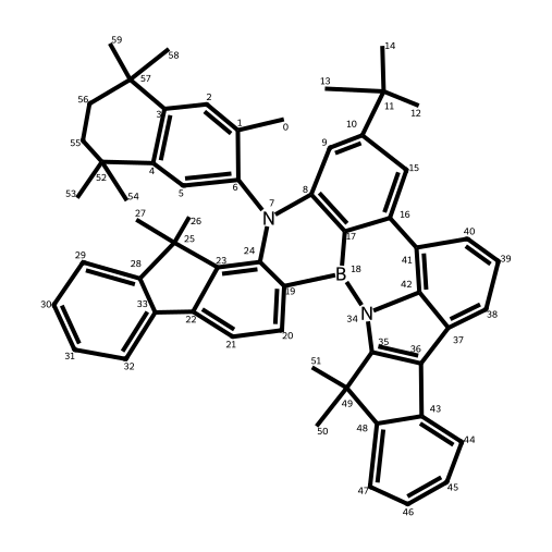 Cc1cc2c(cc1N1c3cc(C(C)(C)C)cc4c3B(c3ccc5c(c31)C(C)(C)c1ccccc1-5)n1c3c(c5cccc-4c51)-c1ccccc1C3(C)C)C(C)(C)CCC2(C)C